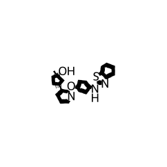 C[C@]1(O)CC[C@H](c2cccnc2Oc2ccc(Nc3nc4ccccc4s3)cc2)C1